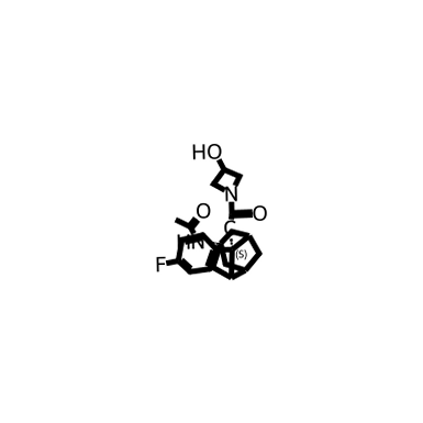 CC(=O)N[C@@]12CC3CC(C1)[C@](CC(=O)N1CC(O)C1)(c1ccc(F)cc1)C3C2